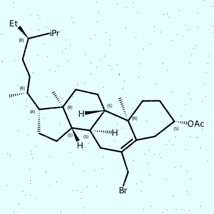 CC[C@H](CC[C@@H](C)[C@H]1CC[C@H]2[C@@H]3CC(CBr)=C4C[C@@H](OC(C)=O)CC[C@]4(C)[C@H]3CC[C@]12C)C(C)C